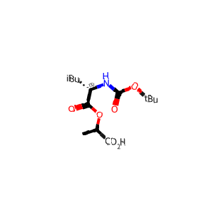 CCC(C)[C@H](NC(=O)OC(C)(C)C)C(=O)OC(C)C(=O)O